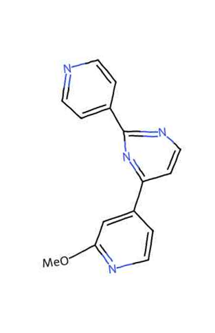 COc1cc(-c2ccnc(-c3ccncc3)n2)ccn1